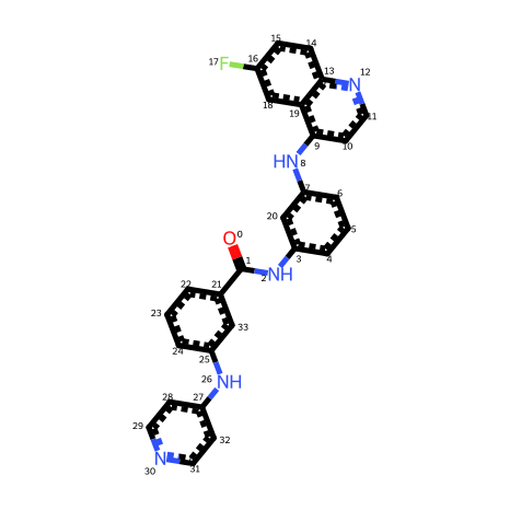 O=C(Nc1cccc(Nc2ccnc3ccc(F)cc23)c1)c1cccc(Nc2ccncc2)c1